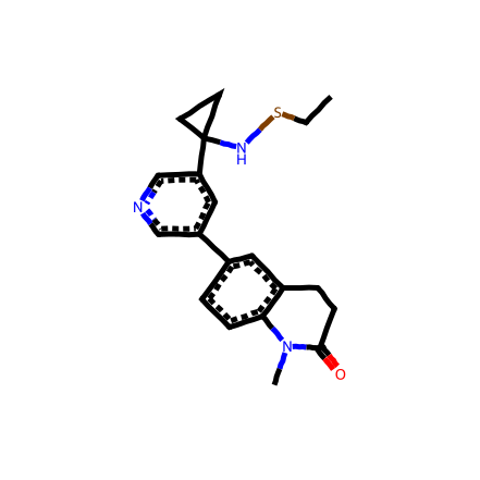 CCSNC1(c2cncc(-c3ccc4c(c3)CCC(=O)N4C)c2)CC1